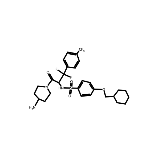 NC1CCN(C(=O)C(NS(=O)(=O)c2ccc(OCC3CCCCC3)cc2)C(F)(F)c2ccc(C(F)(F)F)cc2)CC1